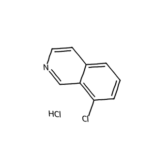 Cl.Clc1cccc2ccncc12